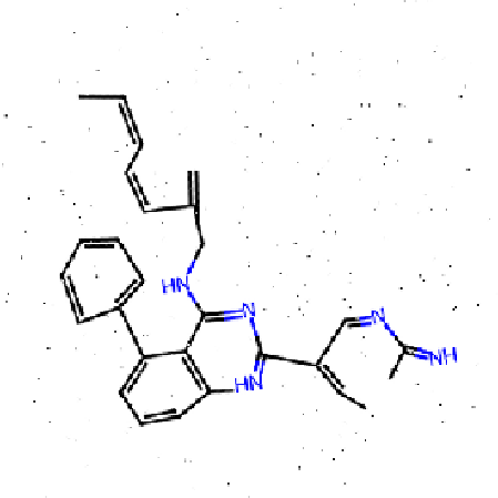 C=C(/C=C\C=C/C)CN/C(=N/C(=N)C(/C=N\C(C)=N)=C/C)c1c(C)cccc1-c1ccccc1